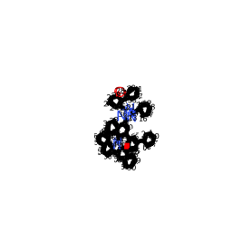 c1ccc(-c2cccc(-c3cc(-c4nc(-c5ccccc5)nc(-c5cccc6oc7ccccc7c56)n4)c4ccccc4c3-n3c4cc5ccccc5cc4c4ccc5ccccc5c43)c2)cc1